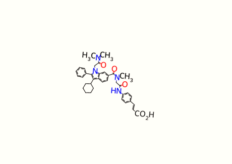 CN(C)C(=O)Cn1c(-c2ccccc2)c(C2CCCCC2)c2ccc(C(=O)N(C)CC(=O)Nc3ccc(C=CC(=O)O)cc3)cc21